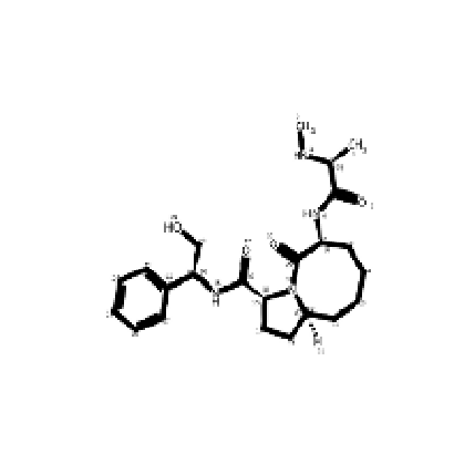 CN[C@@H](C)C(=O)N[C@H]1CCCC[C@H]2CC[C@@H](C(=O)N[C@H](CO)c3ccccc3)N2C1=O